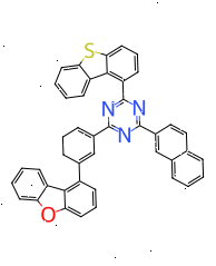 C1=C(c2nc(-c3ccc4ccccc4c3)nc(-c3cccc4sc5ccccc5c34)n2)C=C(c2cccc3oc4ccccc4c23)CC1